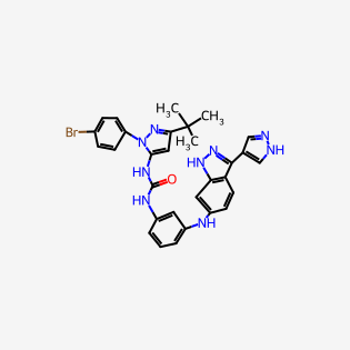 CC(C)(C)c1cc(NC(=O)Nc2cccc(Nc3ccc4c(-c5cn[nH]c5)n[nH]c4c3)c2)n(-c2ccc(Br)cc2)n1